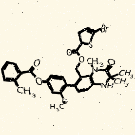 COc1cc(OC(=O)c2ccccc2C)ccc1-c1ccc2c(c1COC(=O)C1CC=C(Br)S1)N(C)C(=O)C(C)(C)N2